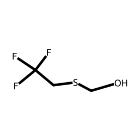 OCSCC(F)(F)F